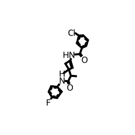 CC(C(=O)Nc1ccc(F)cc1)C1(C)C=C(NC(=O)c2cccc(Cl)c2)C1